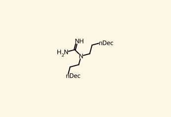 CCCCCCCCCCCCN(CCCCCCCCCCCC)C(=N)N